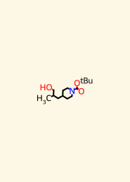 CC(CO)CC1CCN(C(=O)OC(C)(C)C)CC1